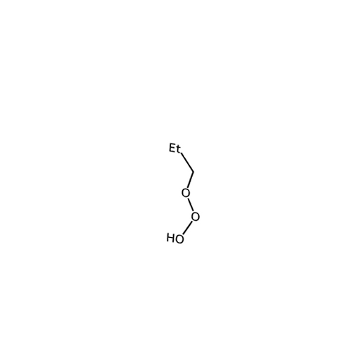 CCCOOO